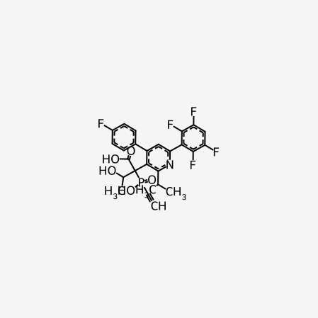 C#CP(=O)(O)C(C(=O)O)(c1c(-c2ccc(F)cc2)cc(-c2c(F)c(F)cc(F)c2F)nc1C(C)C)C(C)O